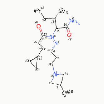 COC1CN(CCc2nn(C(C(N)=O)C(CC(C)C)SC)c(=O)cc2C2CC2)C1